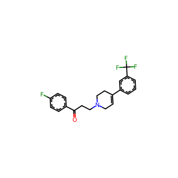 O=C(CCN1CC=C(c2cccc(C(F)(F)F)c2)CC1)c1ccc(F)cc1